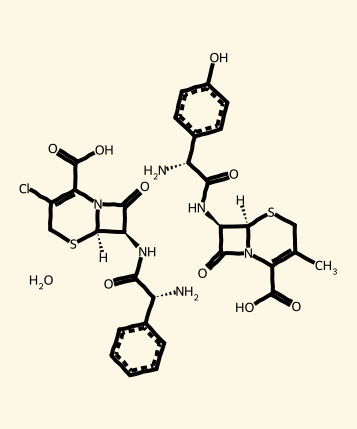 CC1=C(C(=O)O)N2C(=O)[C@@H](NC(=O)[C@H](N)c3ccc(O)cc3)[C@H]2SC1.N[C@@H](C(=O)N[C@@H]1C(=O)N2C(C(=O)O)=C(Cl)CS[C@H]12)c1ccccc1.O